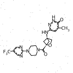 Cc1cc(N[C@]23CO[C@](C(=O)N4CCN(c5ncc(C(F)(F)F)cn5)CC4)(C2)C3)n[nH]c1=O